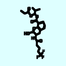 CCC(=O)OC(OC(=O)c1cccc2c1OB(O)[C@@H](NC(=O)CCCC(F)(F)F)C2)C(C)C